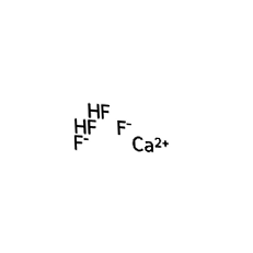 F.F.[Ca+2].[F-].[F-]